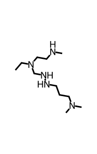 CCN(CCNC)CNNCCCN(C)C